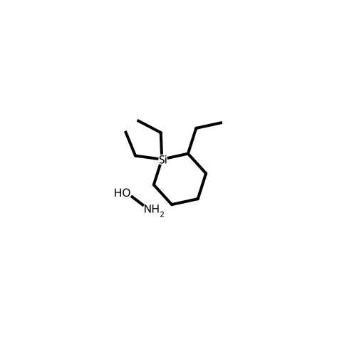 CCC1CCCC[Si]1(CC)CC.NO